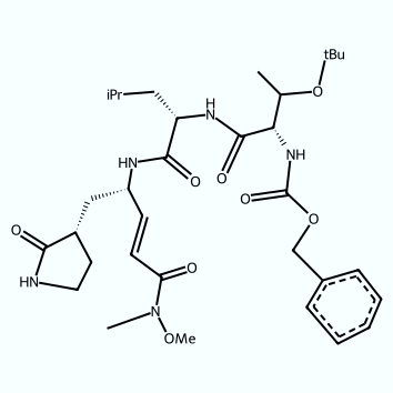 CON(C)C(=O)/C=C/[C@H](C[C@@H]1CCNC1=O)NC(=O)[C@H](CC(C)C)NC(=O)[C@@H](NC(=O)OCc1ccccc1)C(C)OC(C)(C)C